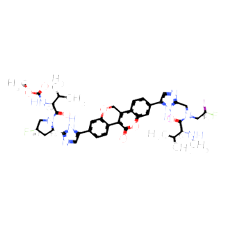 CN[C@H](C(=O)N(Cc1ncc(-c2ccc3c4c(c(=O)oc3c2)-c2ccc(-c3cnc([C@@H]5C[C@@H](F)CN5C(=O)[C@@H](NC(=O)OC)C(C)C)[nH]3)cc2OC4)[nH]1)C[C@H](F)I)C(C)C